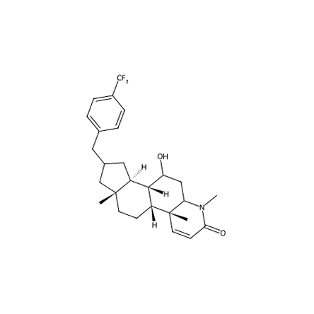 CN1C(=O)C=C[C@@]2(C)C1CC(O)[C@@H]1[C@H]2CC[C@]2(C)CC(Cc3ccc(C(F)(F)F)cc3)C[C@@H]12